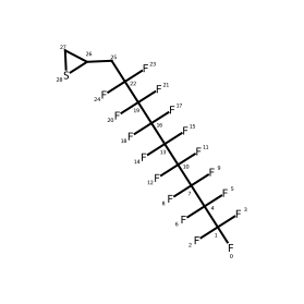 FC(F)(F)C(F)(F)C(F)(F)C(F)(F)C(F)(F)C(F)(F)C(F)(F)C(F)(F)CC1CS1